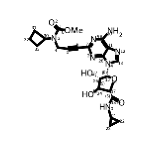 COC(=O)N(CC#Cc1nc(N)c2ncn([C@@H]3O[C@H](C(=O)NC4CC4)C(O)[C@@H]3O)c2n1)C1CCC1